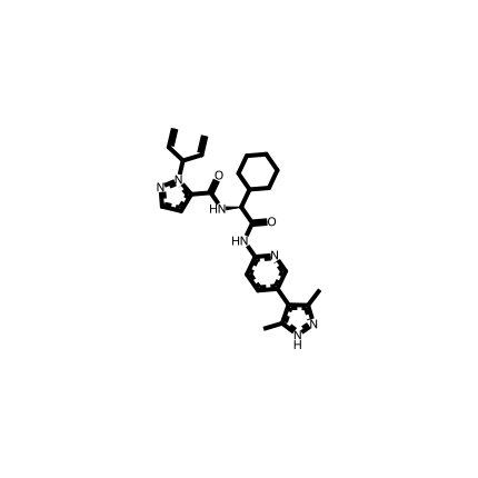 C=CC(C=C)n1nccc1C(=O)N[C@H](C(=O)Nc1ccc(-c2c(C)n[nH]c2C)cn1)C1CCCCC1